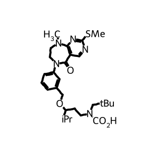 CSc1ncc2c(n1)N(C)CCN(c1cccc(COC(CCN(CC(C)(C)C)C(=O)O)C(C)C)c1)C2=O